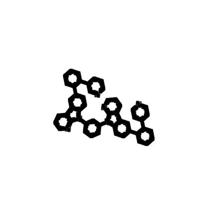 c1cncc(-c2ccccc2-c2ccc3c(c2)c2cccnc2n3-c2cccc(-n3c4ccc(-c5ccccc5-c5ccncc5)cc4c4cccnc43)c2)c1